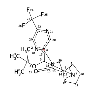 CC(C)(C)OC(=O)N1CC2CCC(C1)C21CC(=O)N(c2cnc(C(F)(F)F)cn2)C1